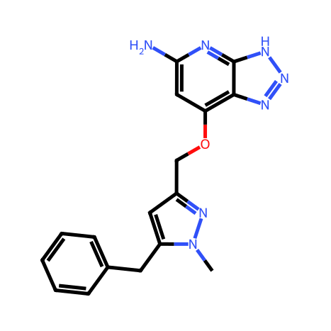 Cn1nc(COc2cc(N)nc3[nH]nnc23)cc1Cc1ccccc1